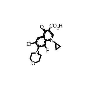 O=C(O)c1cn(C2CC2)c2c(F)c(N3CCOCC3)c(Cl)cc2c1=O